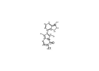 CCn1ncc2c(C)c(-c3cccc4c3CCN4C)c(C)n2c1=O